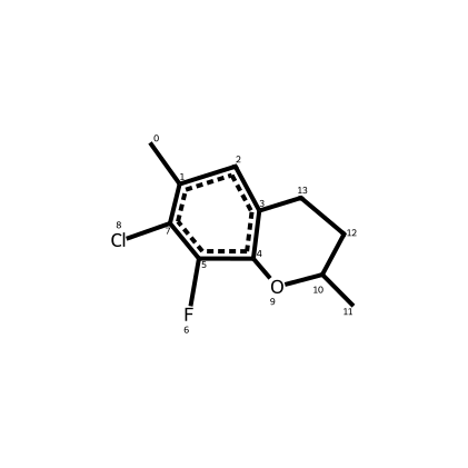 Cc1cc2c(c(F)c1Cl)OC(C)CC2